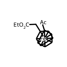 CCOC(=O)C[C]12[CH]3[CH]4[CH]5[CH]1[Fe]45321678[CH]2[CH]1[CH]6[C]7(C(C)=O)[CH]28